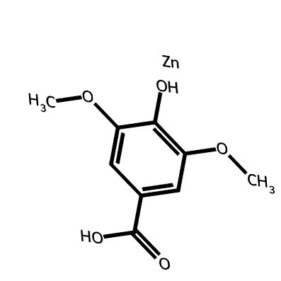 COc1cc(C(=O)O)cc(OC)c1O.[Zn]